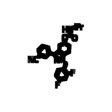 CC(C)NC(=O)ON1CCc2c(c(-c3cccc(C#N)c3)nn2Cc2ccc(F)cc2F)C1